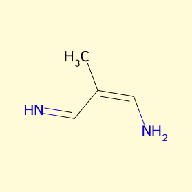 C/C(C=N)=C/N